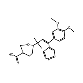 COc1ccc(C(=CC(C)(C)C2CCN(C(=O)O)CC2)c2ccncc2)cc1OC